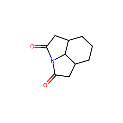 O=C1CC2CCCC3CC(=O)N1C23